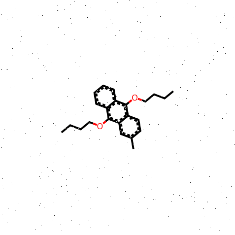 CCCCOc1c2ccccc2c(OCCCC)c2cc(C)ccc12